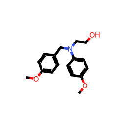 COc1ccc(CN(CCO)c2ccc(OC)cc2)cc1